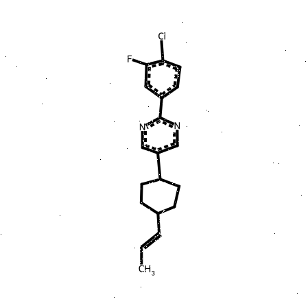 C/C=C/C1CCC(c2cnc(-c3ccc(Cl)c(F)c3)nc2)CC1